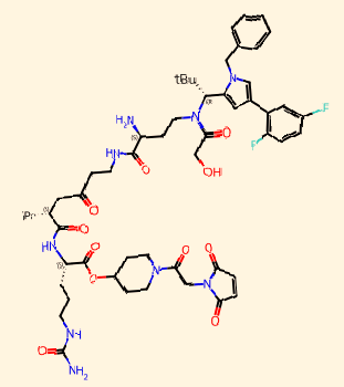 CC(C)[C@H](CC(=O)CCNC(=O)[C@@H](N)CCN(C(=O)CO)[C@@H](c1cc(-c2cc(F)ccc2F)cn1Cc1ccccc1)C(C)(C)C)C(=O)N[C@@H](CCCNC(N)=O)C(=O)OC1CCN(C(=O)CN2C(=O)C=CC2=O)CC1